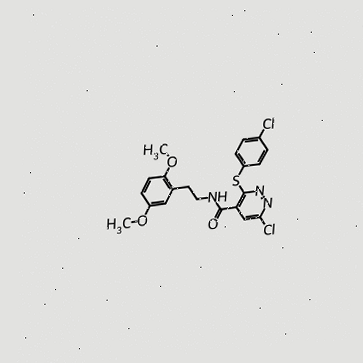 COc1ccc(OC)c(CCNC(=O)c2cc(Cl)nnc2Sc2ccc(Cl)cc2)c1